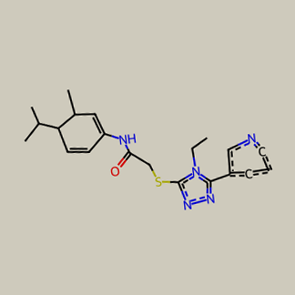 CCn1c(SCC(=O)NC2=CC(C)C(C(C)C)C=C2)nnc1-c1cccnc1